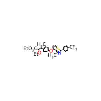 CCOC(=O)C(Cc1ccc(OC(c2sc(-c3ccc(C(F)(F)F)cc3)nc2C)C(C)C)cc1C)OCC